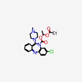 CCC(=O)OC(C)OC(=O)N1C(N2CCN(C)CC2)=c2ccccc2=Nc2ccc(Cl)cc21